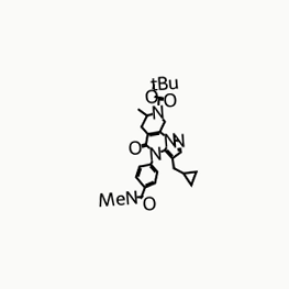 CNC(=O)c1ccc(-n2c(=O)c3c(n4ncc(CC5CC5)c24)CN(C(=O)OC(C)(C)C)C(C)C3)cc1